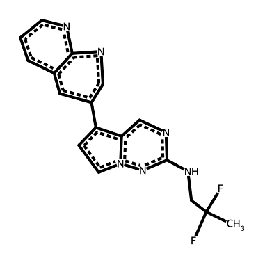 CC(F)(F)CNc1ncc2c(-c3cnc4ncccc4c3)ccn2n1